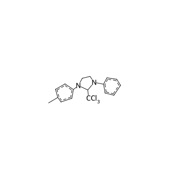 Cc1ccc(N2CCN(c3ccccc3)C2C(Cl)(Cl)Cl)cc1